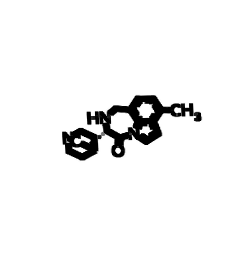 Cc1ccc2c3c1ccn3C(=O)[C@H](C1CN3CCC1CC3)NC2